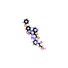 Cc1cc(Oc2ccccc2)ccc1N1C(=O)Nc2c(C(=O)N[C@@H]3CCCN(C(=O)CCO)C3)sc3nccc1c23